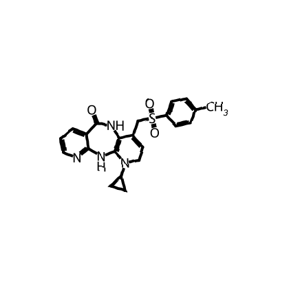 Cc1ccc(S(=O)(=O)CC2=CCN(C3CC3)C3=C2NC(=O)c2cccnc2N3)cc1